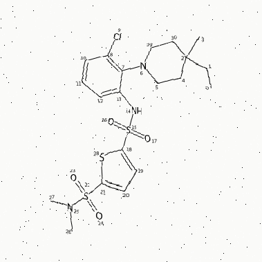 CCC1(C)CCN(c2c(Cl)cccc2NS(=O)(=O)c2ccc(S(=O)(=O)N(C)C)s2)CC1